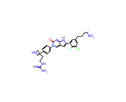 C[C@H](N)CCCc1cc(Cl)c(F)c(-c2cc3cn(-c4ccc(C5(CCNC(=N)N)CNC5)cc4)c(=O)nc3[nH]2)c1